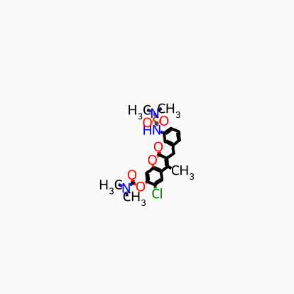 Cc1c(Cc2cccc(NS(=O)(=O)N(C)C)c2)c(=O)oc2cc(OC(=O)N(C)C)c(Cl)cc12